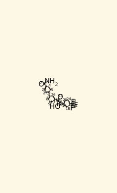 NC(=O)c1ccc(-c2cccc(C(=O)N(O)c3ccc(C(F)(F)F)cc3)c2)cc1